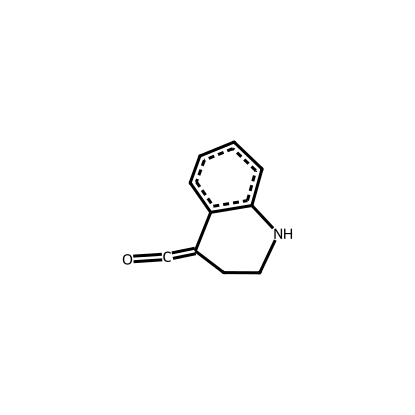 O=C=C1CCNc2ccccc21